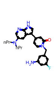 CCCN(CCC)c1cnc2[nH]cc(-c3ccn(Cc4cc(N)cc(F)c4)c(=O)c3)c2c1